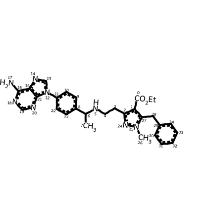 CCOC(=O)c1c(CCNC(C)c2ccc(-n3cnc4c(N)ncnc43)cc2)nn(C)c1Cc1ccccc1